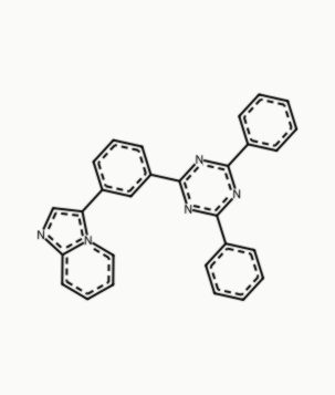 c1ccc(-c2nc(-c3ccccc3)nc(-c3cccc(-c4cnc5ccccn45)c3)n2)cc1